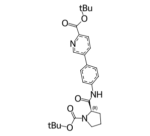 CC(C)(C)OC(=O)c1ccc(-c2ccc(NC(=O)[C@H]3CCCN3C(=O)OC(C)(C)C)cc2)cn1